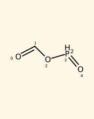 O=CO[PH2]=O